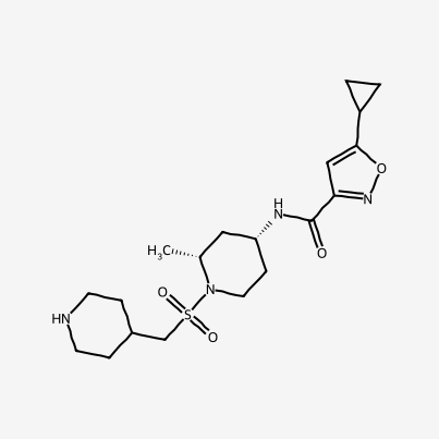 C[C@@H]1C[C@H](NC(=O)c2cc(C3CC3)on2)CCN1S(=O)(=O)CC1CCNCC1